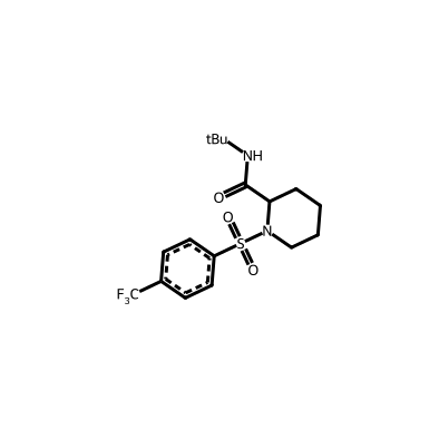 CC(C)(C)NC(=O)C1CCCCN1S(=O)(=O)c1ccc(C(F)(F)F)cc1